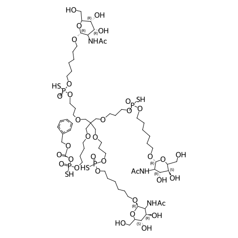 CC(=O)NC1[C@H](OCCCCCCOP(=O)(S)OCCCOCC(COCCCCOP(=O)(S)OC(=O)OCc2ccccc2)(COCCCOP(=O)(S)OCCCCCCO[C@@H]2OC(CO)[C@@H](O)[C@H](O)C2NC(C)=O)COCCCOP(=O)(S)OCCCCCCO[C@@H]2OC(CO)[C@H](O)[C@H](O)C2NC(C)=O)OC(CO)[C@@H](O)[C@@H]1O